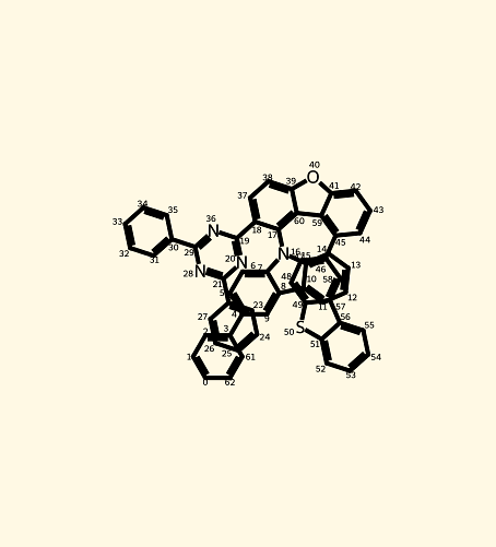 c1ccc(-c2ccc3c(c2)c2ccccc2n3-c2c(-c3nc(-c4ccccc4)nc(-c4ccccc4)n3)ccc3oc4cccc(-c5ccc6sc7ccccc7c6c5)c4c23)cc1